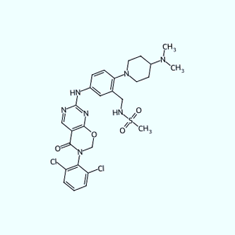 CN(C)C1CCN(c2ccc(Nc3ncc4c(n3)OCN(c3c(Cl)cccc3Cl)C4=O)cc2CNS(C)(=O)=O)CC1